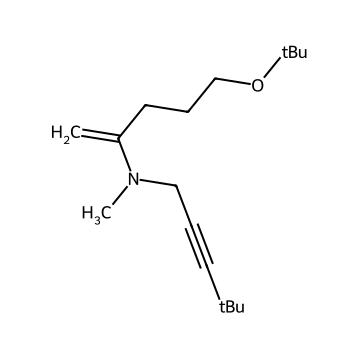 C=C(CCCOC(C)(C)C)N(C)CC#CC(C)(C)C